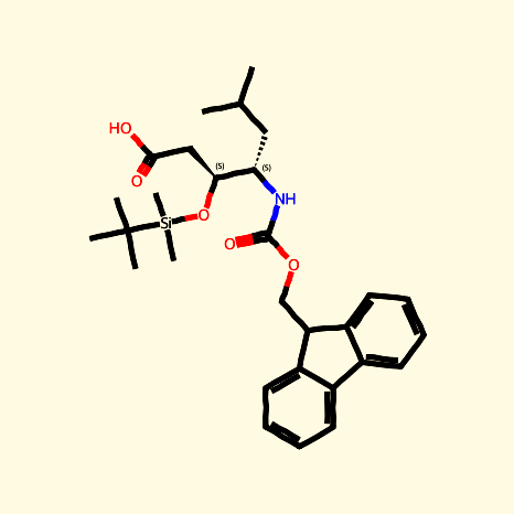 CC(C)C[C@H](NC(=O)OCC1c2ccccc2-c2ccccc21)[C@H](CC(=O)O)O[Si](C)(C)C(C)(C)C